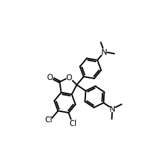 CN(C)c1ccc(C2(c3ccc(N(C)C)cc3)OC(=O)c3cc(Cl)c(Cl)cc32)cc1